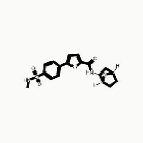 CNS(=O)(=O)c1ccc(-c2ccc(C(=O)N[C@@H]3C[C@H]4CC[C@@H]3N4)o2)cc1